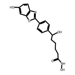 O=C(CCCCC(O)c1ccc(-c2nc3ccc(O)cc3o2)cc1)NO